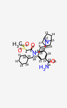 CS(=O)(=O)CC(=O)N(CCCN1C2CCC1CC(c1cccc(C(N)=O)c1)C2)CC1CCCCC1